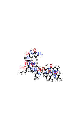 C/C=C/C[C@H](C)[C@H](O)C(C(=O)N[C@@H](CC)C(=O)N(C)CC(=O)N(C)[C@@H](CC(C)C)C(N)=O)N(C)C(=O)[C@H](C(C)C)N(C)C(=O)[C@@H](CC(C)C)N(C)C(=O)[C@@H](CC(C)C)N(C)C(=O)[C@H](C)NC(=O)[C@@H](CC(C)C)NC(=O)[C@H](CC(C)C)N(C)C(=O)[C@H](C)C(C)C